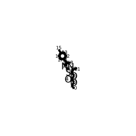 CCOC(=O)Oc1sc2nc(-c3ccc(C)cc3)cn2c1C